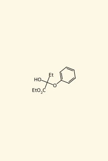 CCOC(=O)C(O)(CC)Oc1ccccc1